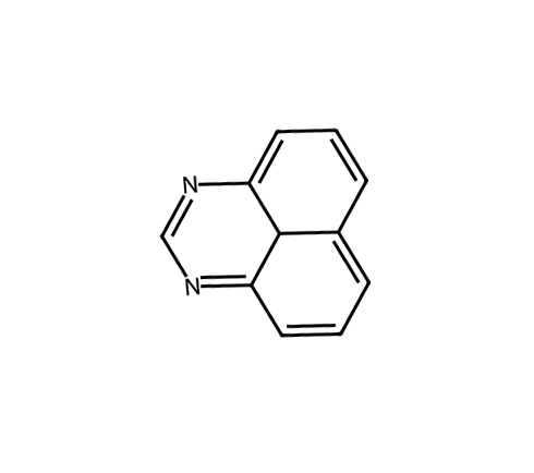 C1=CC2=CC=CC3=NC=NC(=C1)C23